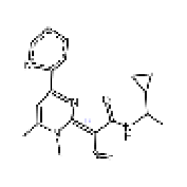 C=N/C(C(=O)NC(C)C1CC1)=C1/N=C(c2ccccn2)C=C(C)N1C